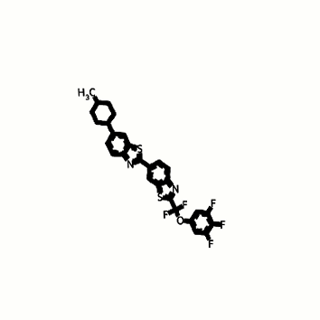 CC1CCC(c2ccc3nc(-c4ccc5nc(C(F)(F)Oc6cc(F)c(F)c(F)c6)sc5c4)sc3c2)CC1